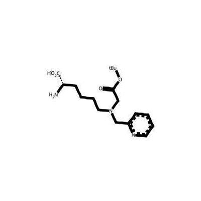 CC(C)(C)OC(=O)CN(CCCC[C@H](N)C(=O)O)Cc1ccccn1